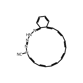 N#Cn1cccccccccccccc2ccccc2n[nH]nn1